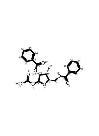 CC(=O)OC1O[C@H](COC(=O)c2ccccc2)[C@@H](F)[C@H]1OC(=O)c1ccccc1